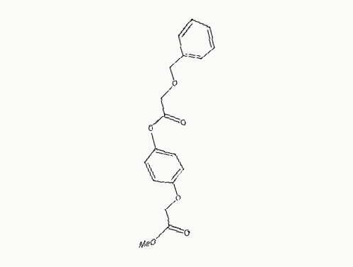 COC(=O)COc1ccc(OC(=O)COCc2ccccc2)cc1